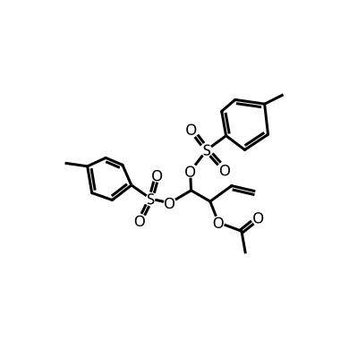 C=CC(OC(C)=O)C(OS(=O)(=O)c1ccc(C)cc1)OS(=O)(=O)c1ccc(C)cc1